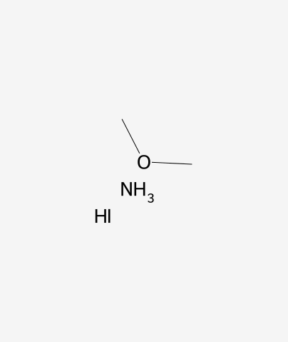 COC.I.N